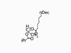 CCCCCCCCCCCCCCCC(=O)OC(C)(C)OC(=O)C(C)C